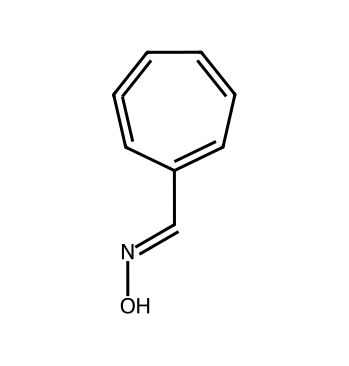 O/N=C/C1=CC=CC=C=C1